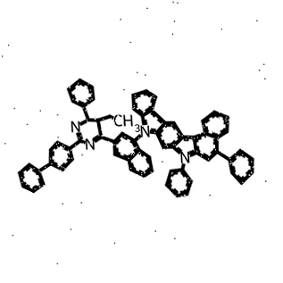 CCC1C(c2cc(-n3c4ccccc4c4cc5c6c7ccccc7c(-c7ccccc7)cc6n(-c6ccccc6)c5cc43)c3ccccc3c2)=NC(c2ccc(-c3ccccc3)cc2)=NC1c1ccccc1